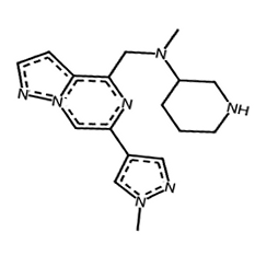 CN(Cc1nc(-c2cnn(C)c2)cn2nccc12)C1CCCNC1